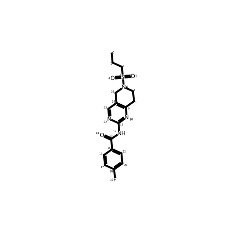 CCCS(=O)(=O)N1CCc2nc(NC(=O)c3ccc(F)cc3)ncc2C1